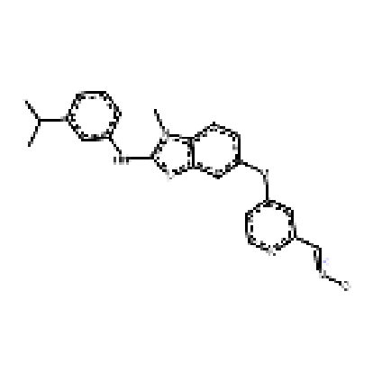 CC(C)c1cccc(Nc2nc3cc(Oc4ccnc(/C=N/O)c4)ccc3n2C)c1